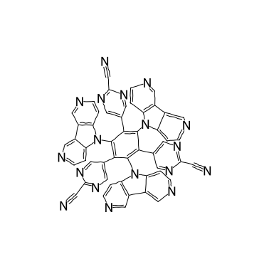 N#Cc1ncc(-c2c(-n3c4ccncc4c4cnccc43)c(-c3cnc(C#N)nc3)c(-n3c4ccncc4c4cnccc43)c(-c3cnc(C#N)nc3)c2-n2c3ccncc3c3cnccc32)cn1